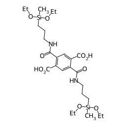 CCO[Si](C)(CCCNC(=O)c1cc(C(=O)O)c(C(=O)NCCC[Si](C)(OCC)OCC)cc1C(=O)O)OCC